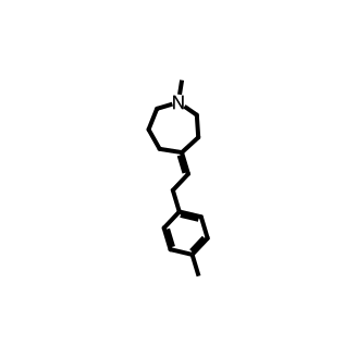 Cc1ccc(CC=C2CCCN(C)CC2)cc1